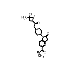 CNC(=O)c1ccc2c(c1)CC(=O)N2C1CCN(CC(=O)C2CC(C)(C)C2)CC1